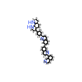 C1=CC2=C(NC1)C1NC=CC(c3ccc(-c4ccc5ccc(-c6ccc7ccc(-c8cccc9ccncc89)nc7c6)cc5n4)cc3)=C1C=C2